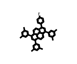 Cc1cc(C)cc(-c2cc(-c3ccc(F)cc3)c3ccc4c(-c5cc(C)cc(C)c5)cc(-c5cc(C)cc(C)c5)c5ccc2c3c45)c1